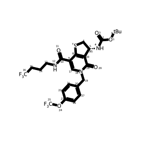 CC(C)(C)OC(=O)N[C@H]1CSc2c(C(=O)NCCCC(F)(F)F)cn(Cc3ccc(OC(F)(F)F)cc3)c(=O)c21